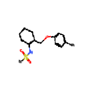 CCS(=O)(=O)NC1CCCCC1COc1ccc(C(C)C)cc1